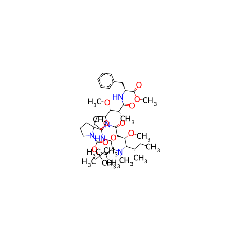 CC[C@H](C)[C@@H]([C@@H](CC(=O)N1CCC[C@H]1[C@H](OC)[C@@H](C)C(=O)N[C@@H](Cc1ccccc1)C(=O)OC)OC)N(C)[C@H](C(=O)NC(=O)[C@]1(C)CCCN1C(=O)OC(C)(C)C)C(C)C